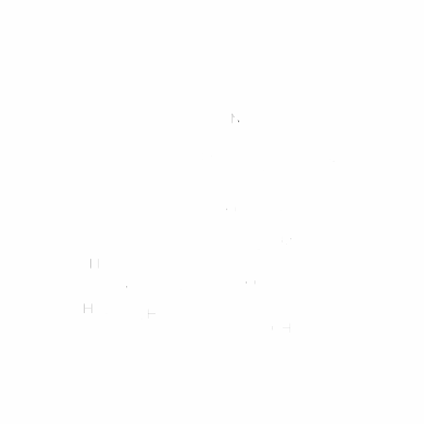 CCOC(=O)C(Oc1ccc(Cl)cc1-c1nc2ccccc2o1)c1ccc(C(C)(C)C)cc1